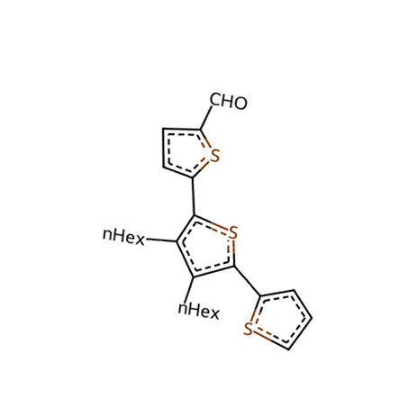 CCCCCCc1c(-c2cccs2)sc(-c2ccc(C=O)s2)c1CCCCCC